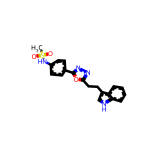 CS(=O)(=O)Nc1ccc(-c2nnc(CCc3c[nH]c4ccccc34)o2)cc1